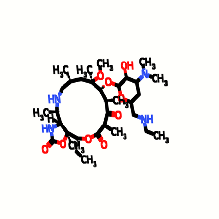 CCNCC1CC(N(C)C)C(O)C(O[C@@H]2[C@@H](C)C(=O)C(C)C(=O)O[C@H](CC)[C@@]3(C)OC(=O)N[C@@H]3[C@@H](C)NC[C@H](C)C[C@@]2(C)OC)O1